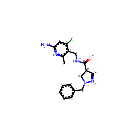 Cc1nc(N)cc(Cl)c1CNC(=O)C1C=NN(Cc2ccccc2)C1